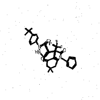 Cc1[nH]n(-c2ccc(C(C)(C)C)cc2)c(=O)c1C1(C(F)(F)F)C(=O)N(c2ccccc2)C2=C1C(=O)CC(C)(C)C2